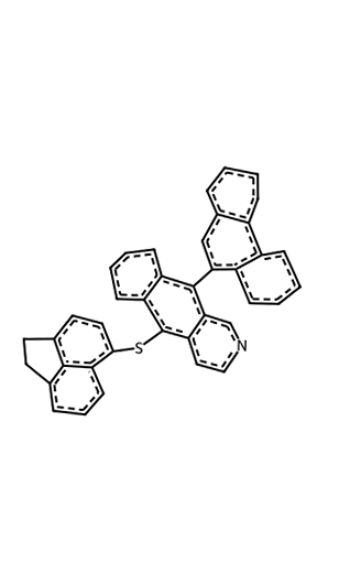 c1ccc2c(c1)cc(-c1c3ccccc3c(Sc3ccc4c5c(cccc35)CC4)c3ccncc13)c1ccccc12